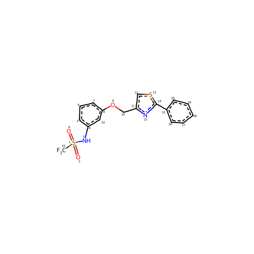 O=S(=O)(Nc1cccc(OCc2csc(-c3ccccc3)n2)c1)C(F)(F)F